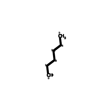 [CH]CC[C]CC